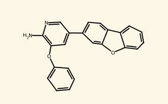 Nc1ncc(-c2ccc3c(c2)oc2ccccc23)cc1Oc1ccccc1